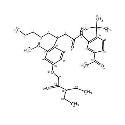 CCCCCC(CC(=O)Nc1cc(C(N)=O)ccc1C(C)(C)C)c1ccc(OCC(=O)N(CC)CC)cc1OC